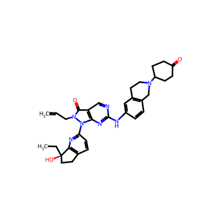 C=CCn1c(=O)c2cnc(Nc3ccc4c(c3)CCN(C3CCC(=O)CC3)C4)nc2n1-c1ccc2c(n1)[C@@](O)(CC)CC2